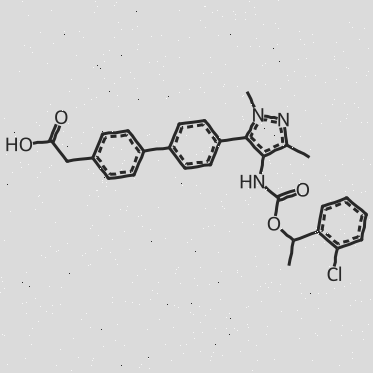 Cc1nn(C)c(-c2ccc(-c3ccc(CC(=O)O)cc3)cc2)c1NC(=O)OC(C)c1ccccc1Cl